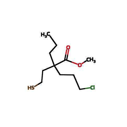 CCCC(CCS)(CCCCl)C(=O)OC